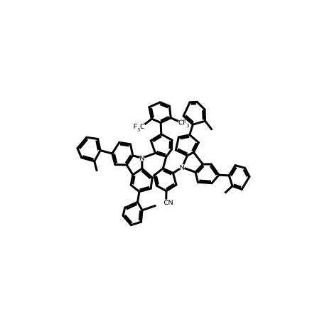 Cc1ccccc1-c1ccc2c(c1)c1cc(-c3ccccc3C)ccc1n2-c1cc(C#N)ccc1-c1ccc(-c2c(C(F)(F)F)cccc2C(F)(F)F)cc1-n1c2ccc(-c3ccccc3C)cc2c2cc(-c3ccccc3C)ccc21